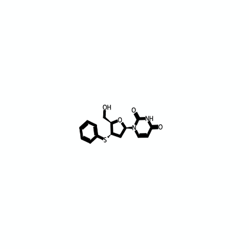 O=c1ccn([C@H]2C[C@H](Sc3ccccc3)[C@@H](CO)O2)c(=O)[nH]1